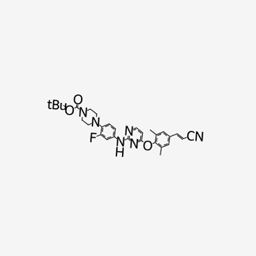 Cc1cc(C=CC#N)cc(C)c1Oc1ccnc(Nc2ccc(N3CCN(C(=O)OC(C)(C)C)CC3)c(F)c2)n1